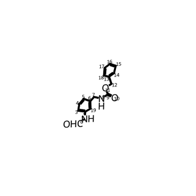 O=CNc1cccc(CNC(=O)OCc2ccccc2)c1